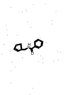 O=C(NCC1C=CCC1)c1ccccc1